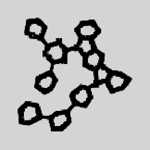 c1ccc(-c2cccc(-c3ccc(-n4c5ccccc5c5cc6c7ccccc7n(-c7nc(-c8ccccc8)nc(-c8ccccc8)n7)c6cc54)cc3)c2)cc1